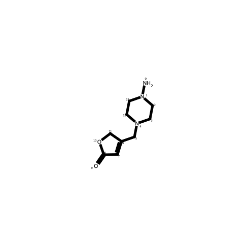 NN1CCN(CC2=CC(=O)OC2)CC1